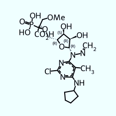 C=NN(c1nc(Cl)nc(NC2CCCC2)c1C)[C@@H]1O[C@H](CO[C@](COC)(C(=O)O)P(=O)(O)O)[C@@H](O)[C@H]1O